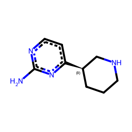 Nc1nccc([C@@H]2CCCNC2)n1